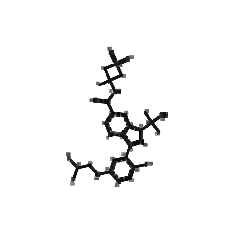 CC1(NC(=O)c2cnc3c(c2)c(C(C)(C)O)nn3-c2cc(OCC(F)F)ncc2F)CS(=O)(=O)C1